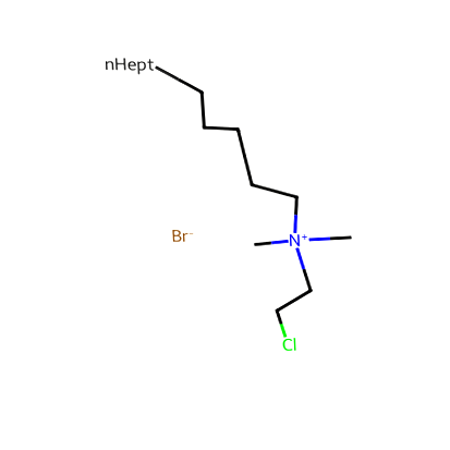 CCCCCCCCCCCC[N+](C)(C)CCCl.[Br-]